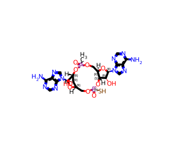 CP1(=O)OC[C@H]2O[C@@H](n3cnc4c(N)ncnc43)[C@H](O)[C@@H]2O[P@](=O)(S)OC[C@H]2O[C@@H](n3cnc4c(N)ncnc43)[C@H](O1)[C@@H]2O